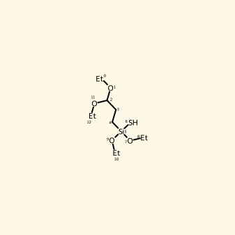 CCOC(CC[Si](S)(OCC)OCC)OCC